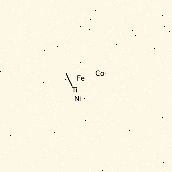 [CH3][Ti].[Co].[Fe].[Ni]